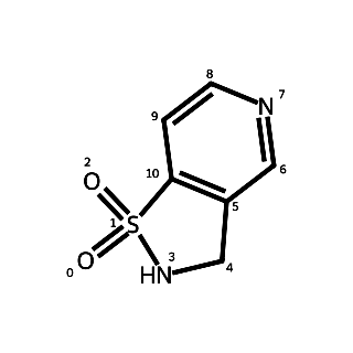 O=S1(=O)NCc2cnccc21